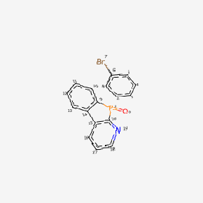 O=[P@@]1(c2cccc(Br)c2)c2ccccc2-c2cccnc21